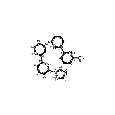 N#Cc1cccc(-c2ccccn2)n1.c1ccc(-c2cccc(-n3cncn3)n2)nc1